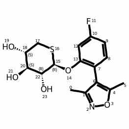 Cc1noc(C)c1-c1ccc(F)cc1O[C@@H]1SC[C@@H](O)[C@H](O)[C@H]1O